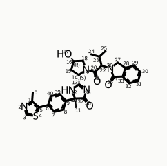 Cc1ncsc1-c1ccc([C@]2(C)NC([C@@H]3C[C@@H](O)CN3C(=O)C(C(C)C)N3Cc4ccccc4C3=O)=NC2=O)cc1